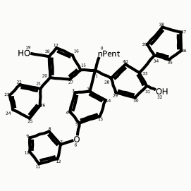 CCCCCC(c1ccc(Oc2ccccc2)cc1)(c1ccc(O)c(-c2ccccc2)c1)c1ccc(O)c(-c2ccccc2)c1